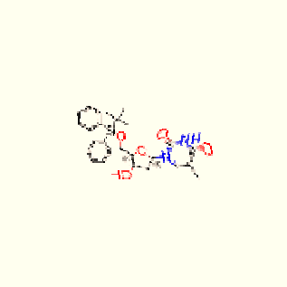 Cc1cn([C@H]2C[C](O)[C@@H](CO[Si](c3ccccc3)(c3ccccc3)C(C)(C)C)O2)c(=O)[nH]c1=O